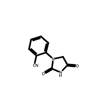 N#Cc1ccccc1N1CC(=O)NC1=O